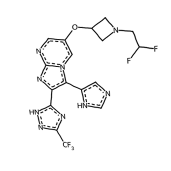 FC(F)CN1CC(Oc2cnc3nc(-c4nc(C(F)(F)F)n[nH]4)c(-c4cnc[nH]4)n3c2)C1